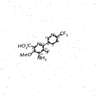 COc1c(C(=O)O)nc(-c2ccc(C(F)(F)F)nc2)c(F)c1N